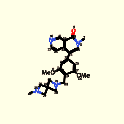 COc1cc(-c2cn(C)c(=O)c3cnccc23)cc(OC)c1CN1CC2(CN(C)C2)C1